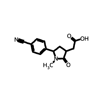 CN1C(=O)C(CC(=O)O)CC1c1ccc(C#N)cc1